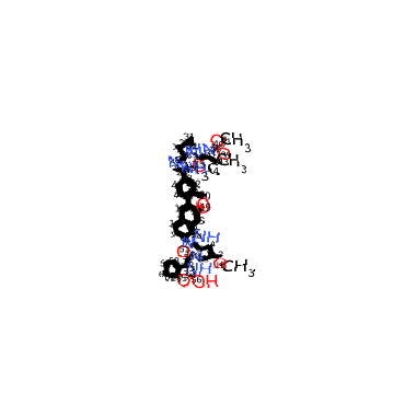 COCC1CC(c2nc3ccc4cc5c(cc4c3[nH]2)OCc2cc(-c3cnc(C4CC6CC6N4C(=O)C(NC(=O)OC)C(C)C)[nH]3)ccc2-5)N(C(=O)C(NC(=O)O)c2ccccc2)C1